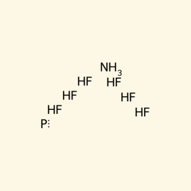 F.F.F.F.F.F.N.[P]